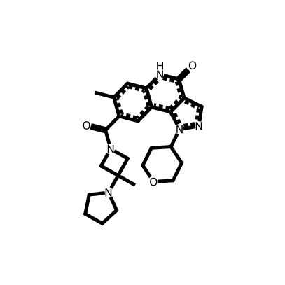 Cc1cc2[nH]c(=O)c3cnn(C4CCOCC4)c3c2cc1C(=O)N1CC(C)(N2CCCC2)C1